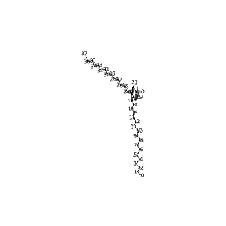 CCCCCCCCCCCCCCCCCCN1C=CN(C)C1CCCCCCCCCCCCCC